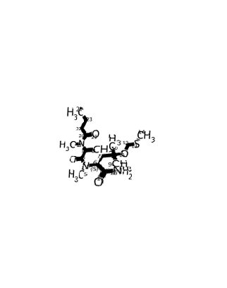 C=C(C(=O)N(C)[C@@H](CC(C)(C)OCSC)C(N)=O)N(C)C(=O)CCC